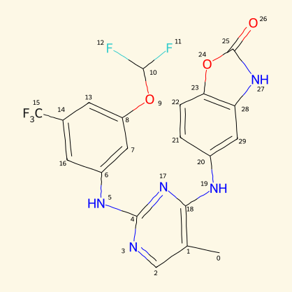 Cc1cnc(Nc2cc(OC(F)F)cc(C(F)(F)F)c2)nc1Nc1ccc2oc(=O)[nH]c2c1